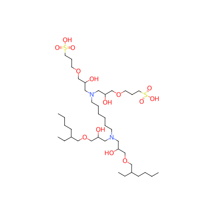 CCCCC(CC)COCC(O)CN(CCCCCCN(CC(O)COCCCS(=O)(=O)O)CC(O)COCCCS(=O)(=O)O)CC(O)COCC(CC)CCCC